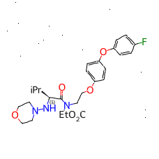 CCOC(=O)N(CCOc1ccc(Oc2ccc(F)cc2)cc1)C(=O)[C@@H](NN1CCOCC1)C(C)C